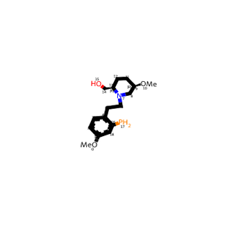 COc1ccc(CCN2C[C@H](OC)CC[C@@H]2CO)c(P)c1